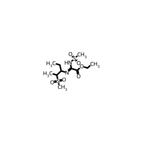 CCOC(=O)/C(=N/C(CC)C(C)S(C)(=O)=O)NS(C)(=O)=O